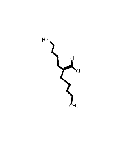 CCCCCC(CCCCC)=C(Cl)Cl